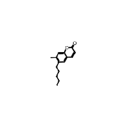 CCCCCc1cc2ccc(=O)oc2cc1C